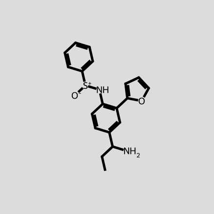 CCC(N)c1ccc(N[S+]([O-])c2ccccc2)c(-c2ccco2)c1